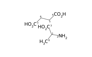 CC(N)C(=O)O.O=C(O)CCC(=O)O